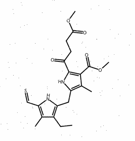 CCc1c(Cc2[nH]c(C(=O)CCC(=O)OC)c(C(=O)OC)c2C)[nH]c(C=S)c1C